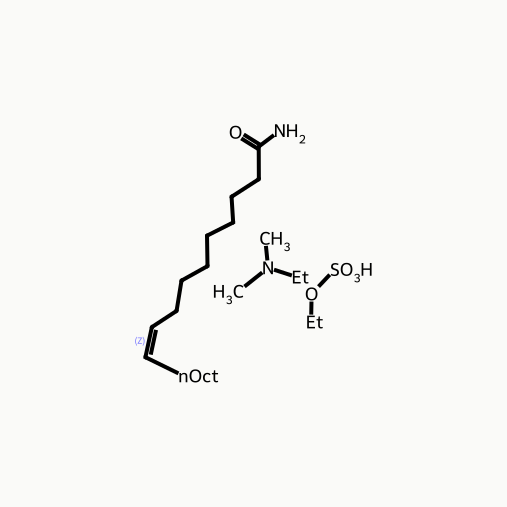 CCCCCCCC/C=C\CCCCCCCC(N)=O.CCN(C)C.CCOS(=O)(=O)O